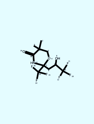 CC1(C)COC(CC(O)C(F)(F)F)(C(F)(F)F)NC1=O